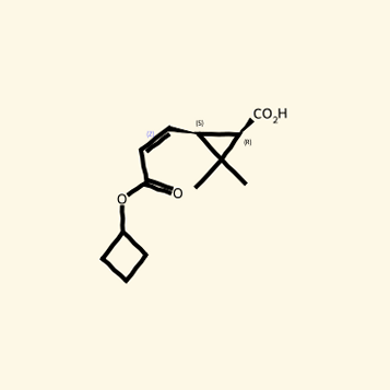 CC1(C)[C@H](C(=O)O)[C@@H]1/C=C\C(=O)OC1CCC1